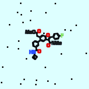 CNC(=O)c1c(-c2ccc(F)cc2)oc2cc(CC(=O)OC)c(-c3cccc(C(=O)NC45CC(C4)C5)c3)cc12